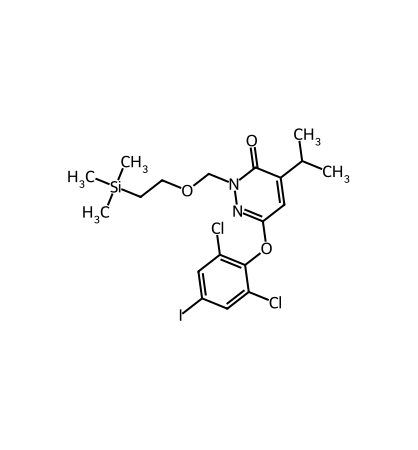 CC(C)c1cc(Oc2c(Cl)cc(I)cc2Cl)nn(COCC[Si](C)(C)C)c1=O